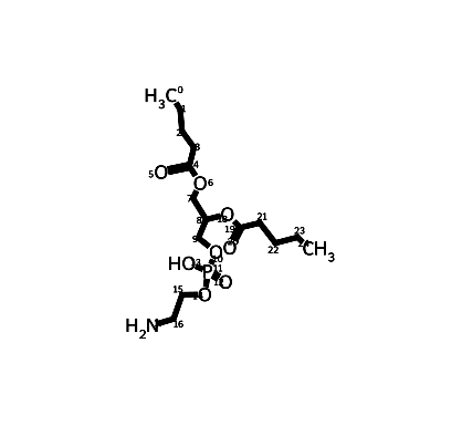 CCCCC(=O)OCC(COP(=O)(O)OCCN)OC(=O)CCCC